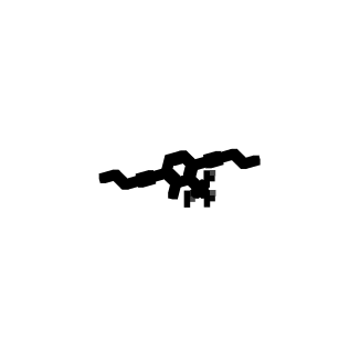 CCCC#Cc1ccc(C#CCCC)c(C(F)(F)F)c1C